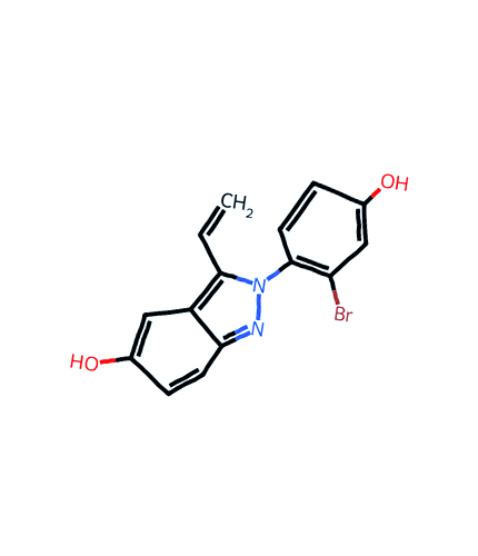 C=Cc1c2cc(O)ccc2nn1-c1ccc(O)cc1Br